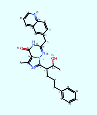 Cc1nc(C(CCCc2ccccc2)C(C)O)n2nc(Cc3ccc4ncccc4c3)[nH]c(=O)c12